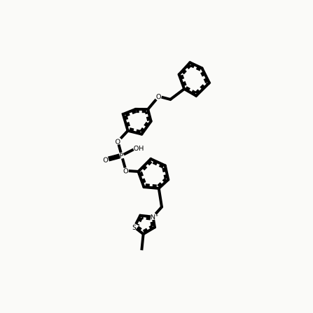 Cc1c[n+](Cc2cccc(OP(=O)(O)Oc3ccc(OCc4ccccc4)cc3)c2)cs1